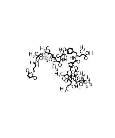 CC[C@H](C)[C@H](NC(=O)C(C)(C)N(C)C)C(=O)N(C)[C@H](C[C@@H](OC(C)=O)c1nc(C(=O)N[C@@H](Cc2ccc(O)c(NC(=O)[C@H](C)NC(=O)[C@H](C)CC(=O)CC(C)(CC)COCC(C)(C)CNC(=O)CCCN3C(=O)C=CC3=O)c2)C[C@H](C)C(=O)O)cs1)C(C)C